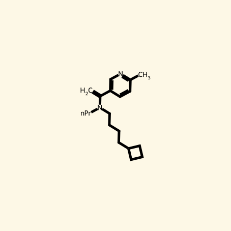 C=C(c1ccc(C)nc1)N(CCC)CCCCC1CCC1